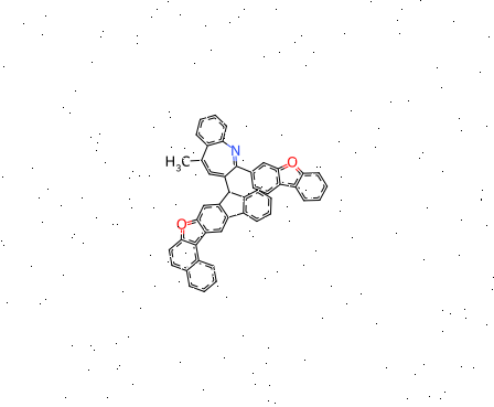 CC1=C=C(C2c3ccccc3-c3cc4c(cc32)oc2ccc3ccccc3c24)C(c2ccc3c(c2)oc2ccccc23)=Nc2ccccc21